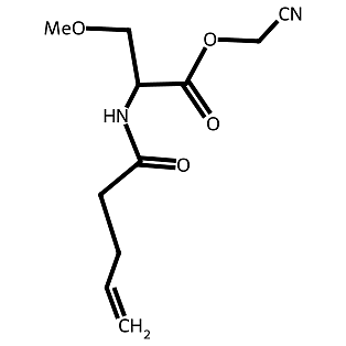 C=CCCC(=O)NC(COC)C(=O)OCC#N